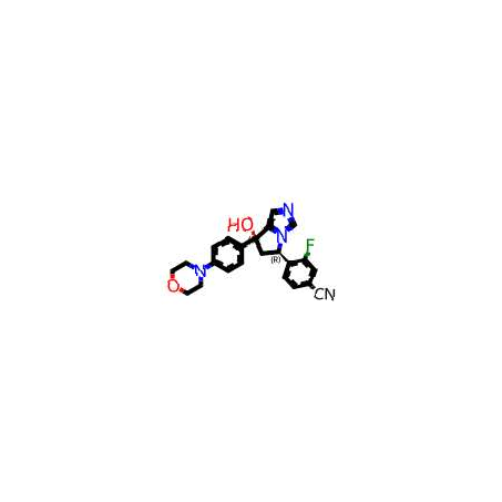 N#Cc1ccc([C@H]2C[C@](O)(c3ccc(N4CCOCC4)cc3)c3cncn32)c(F)c1